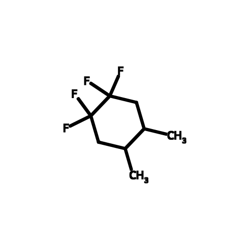 CC1CC(F)(F)C(F)(F)CC1C